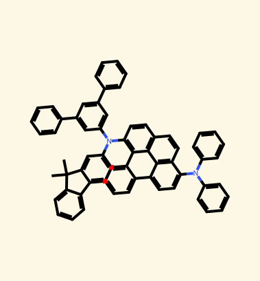 CC1(C)c2ccccc2-c2ccc(N(c3cc(-c4ccccc4)cc(-c4ccccc4)c3)c3ccc4ccc5c(N(c6ccccc6)c6ccccc6)ccc6c7ccccc7c3c4c56)cc21